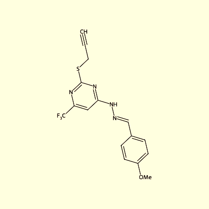 C#CCSc1nc(NN=Cc2ccc(OC)cc2)cc(C(F)(F)F)n1